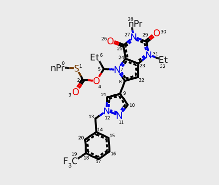 CCCSC(=O)OC(CC)n1c(-c2cnn(Cc3cccc(C(F)(F)F)c3)c2)cc2c1c(=O)n(CCC)c(=O)n2CC